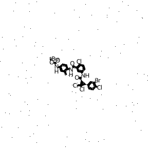 Cc1cc(NC(=O)OC(C)(C)C)ccc1NC(=O)c1cc(NC(=O)[C@H]2[C@H](c3ccc(Cl)c(Br)c3)C2(Cl)Cl)ccc1Cl